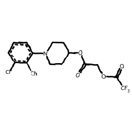 N#Cc1c(Cl)cccc1N1CCC(OC(=O)COC(=O)C(F)(F)F)CC1